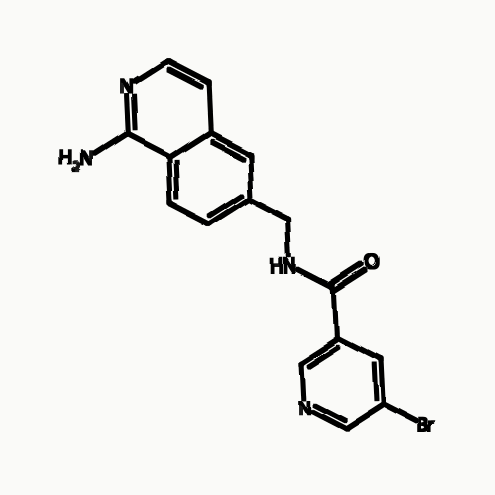 Nc1nccc2cc(CNC(=O)c3cncc(Br)c3)ccc12